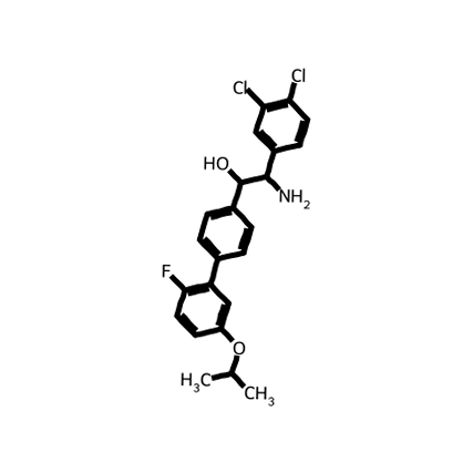 CC(C)Oc1ccc(F)c(-c2ccc(C(O)C(N)c3ccc(Cl)c(Cl)c3)cc2)c1